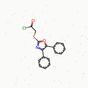 O=C(Cl)CSc1nc(-c2ccccc2)c(-c2ccccc2)o1